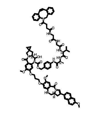 COc1ccc2cc(C3=CN4C(=O)c5cc(OC)c(OCCCOc6cc7c(cc6OC)C(=O)N6CC8(CC8)C[C@H]6C(O)N7C(=O)OCc6ccc(NC(=O)[C@H](C)NC(=O)[C@@H](NC(=O)CNC(=O)CNC(=O)CCC(=O)N7Cc8ccccc8C#Cc8ccccc87)C(C)C)cc6)cc5NC[C@@H]4C3)ccc2c1